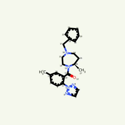 Cc1ccc(-n2nccn2)c(C(=O)N2CCN(Cc3ccccc3)CC[C@H]2C)c1